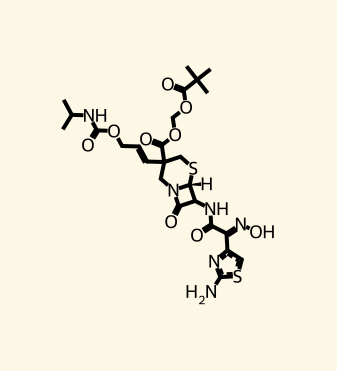 CC(C)NC(=O)OCC=CC1(C(=O)OCOC(=O)C(C)(C)C)CS[C@@H]2C(NC(=O)C(=NO)c3csc(N)n3)C(=O)N2C1